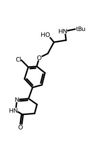 CC(C)(C)NCC(O)COc1ccc(C2=NNC(=O)CC2)cc1Cl